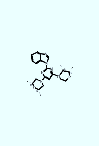 C[C@@H]1CN(c2cc(N3CCO[C@@H](C)[C@H]3C)nc(-n3cnc4ccccc43)n2)C[C@H](C)O1